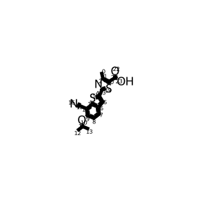 Cc1nc(-c2cc3ccc(OC(C)C)c(C#N)c3s2)sc1C(=O)O